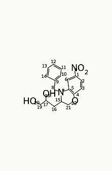 O=[N+]([O-])c1ccc2c(c1)N(Cc1ccccc1)C(CC(O)CO)CO2